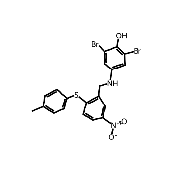 Cc1ccc(Sc2ccc([N+](=O)[O-])cc2CNc2cc(Br)c(O)c(Br)c2)cc1